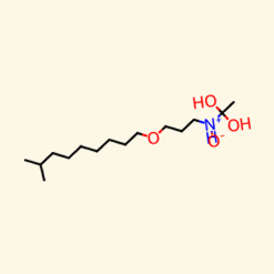 CC(C)CCCCCCCOCCC[NH+]([O-])C(C)(O)O